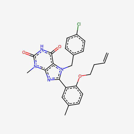 C=CCCOc1ccc(C)cc1-c1nc2c(c(=O)[nH]c(=O)n2C)n1Cc1ccc(Cl)cc1